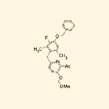 COCOc1ccc(Cc2c(C)cc(OCc3ccccc3)c(F)c2C)nc1C(C)=O